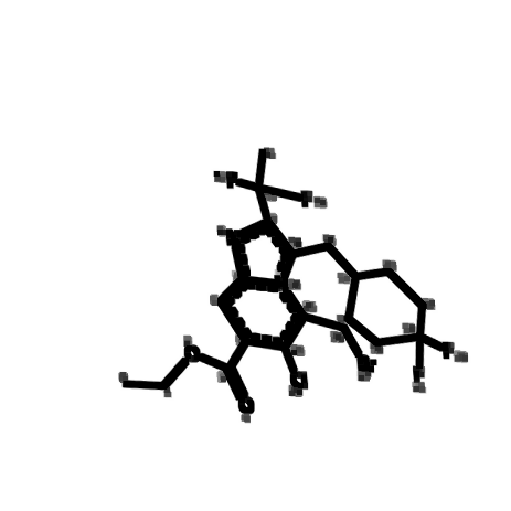 CCOC(=O)c1cc2nc(C(C)(F)F)c(CC3CCC(F)(F)CC3)n2c(CBr)c1Cl